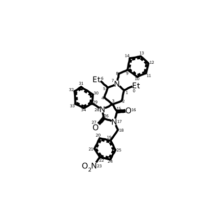 CCC1CC2(CC(CC)N1Cc1ccccc1)C(=O)N(Cc1ccc([N+](=O)[O-])cc1)C(=O)N2c1ccccc1